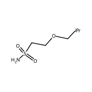 CC(C)COCCS(N)(=O)=O